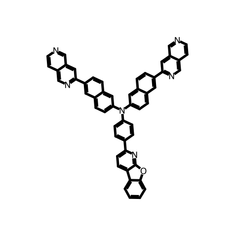 c1ccc2c(c1)oc1nc(-c3ccc(N(c4ccc5cc(-c6cc7cnccc7cn6)ccc5c4)c4ccc5cc(-c6cc7cnccc7cn6)ccc5c4)cc3)ccc12